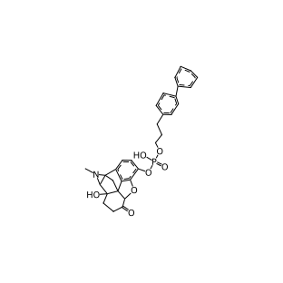 CN1C2C13CC14c5c3ccc(OP(=O)(O)OCCCc3ccc(-c6ccccc6)cc3)c5OC1C(=O)CCC24O